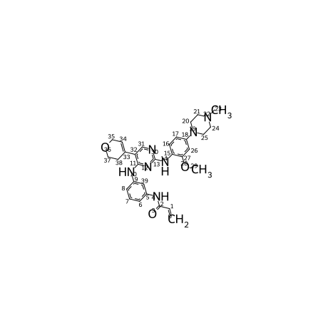 C=CC(=O)Nc1cccc(Nc2nc(Nc3ccc(N4CCN(C)CC4)cc3OC)ncc2C2=CCOCC2)c1